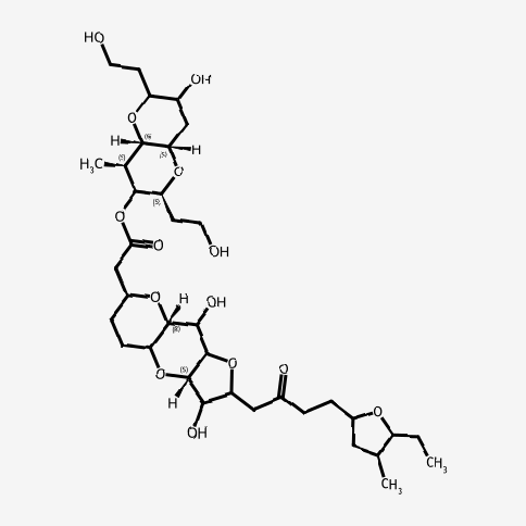 CCC1OC(CCC(=O)CC2OC3C(O)[C@H]4OC(CC(=O)OC5[C@H](CCO)O[C@H]6CC(O)C(CCO)O[C@H]6[C@@H]5C)CCC4O[C@H]3C2O)CC1C